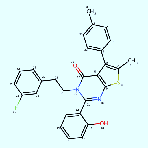 Cc1ccc(-c2c(C)sc3nc(-c4ccccc4O)n(CCc4cccc(F)c4)c(=O)c23)cc1